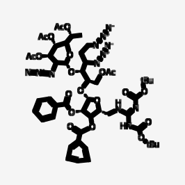 CC(=O)OC[C@@H](O[C@@H]1O[C@H](CN/C(=N\C(=O)OC(C)(C)C)NC(=O)OC(C)(C)C)C(OC(=O)c2ccccc2)[C@@H]1OC(=O)c1ccccc1)[C@H](O[C@H]1OC([C@@H](C)OC(C)=O)[C@@H](OC(C)=O)[C@H](OC(C)=O)C1N=[N+]=[N-])C(CCN=[N+]=[N-])N=[N+]=[N-]